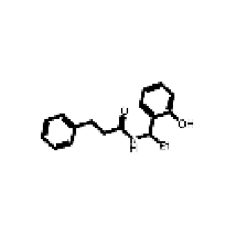 CCC(NC(=O)CCc1ccccc1)c1ccccc1O